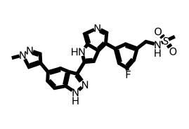 Cn1cc(-c2ccc3[nH]nc(-c4cc5c(-c6cc(F)cc(CNS(C)(=O)=O)c6)cncc5[nH]4)c3c2)cn1